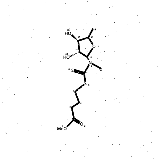 COC(=O)CCCSC(=S)N(C)[C@H]1OC(C)[C@H](O)[C@H]1O